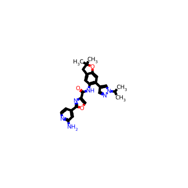 CC(C)n1cc(-c2cc3c(cc2NC(=O)c2coc(-c4ccnc(N)c4)n2)CC(C)(C)O3)cn1